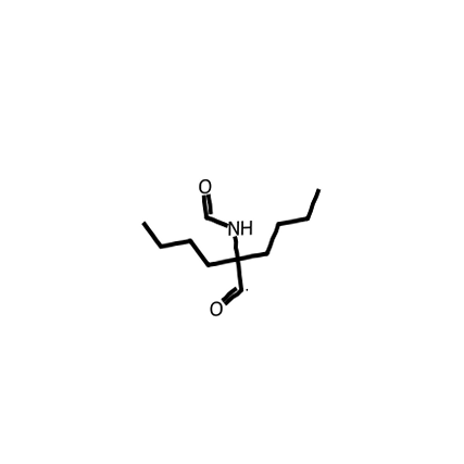 CCCCC([C]=O)(CCCC)NC=O